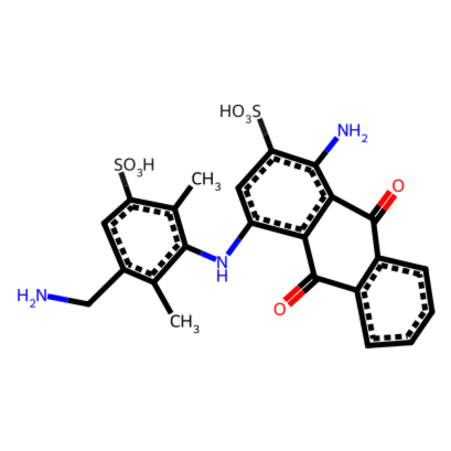 Cc1c(CN)cc(S(=O)(=O)O)c(C)c1Nc1cc(S(=O)(=O)O)c(N)c2c1C(=O)c1ccccc1C2=O